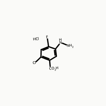 Cl.NNc1cc(C(=O)O)c(Cl)cc1F